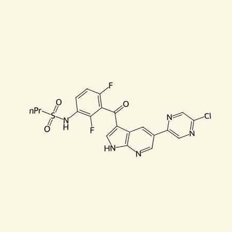 CCCS(=O)(=O)Nc1ccc(F)c(C(=O)c2c[nH]c3ncc(-c4cnc(Cl)cn4)cc23)c1F